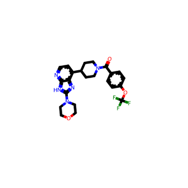 O=C(c1ccc(OC(F)(F)F)cc1)N1CCC(c2ccnc3[nH]c(N4CCOCC4)nc23)CC1